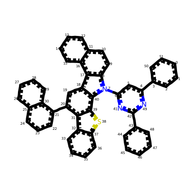 c1ccc(-c2cc(-n3c4ccc5ccccc5c4c4cc(-c5cccc6ccccc56)c5c6ccccc6sc5c43)nc(-c3ccccc3)n2)cc1